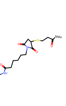 CNC(=O)CCSC1CC(=O)N(CCCCCC(=O)NC(C)C)C1=O